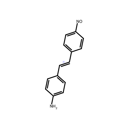 Nc1ccc(/C=C/c2ccc(N=O)cc2)cc1